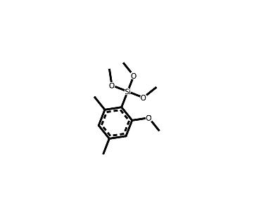 COc1cc(C)cc(C)c1[Si](OC)(OC)OC